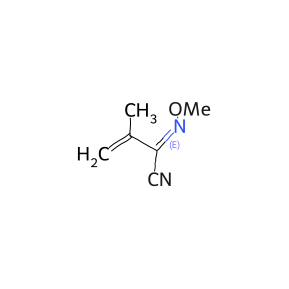 C=C(C)/C(C#N)=N\OC